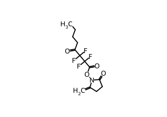 C=C1CCC(=O)N1OC(=O)C(F)(F)C(F)(F)C(=O)CCCC